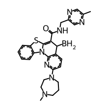 BC1C(C(=O)NCc2cnc(C)cn2)=C2Sc3ccccc3N2c2nc(N3CCCN(C)CC3)ccc21